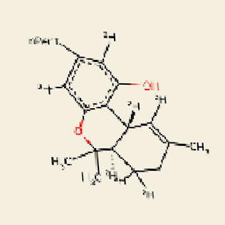 [2H]C1=C(C)CC([2H])([2H])[C@@]2([2H])C(C)(C)Oc3c([2H])c(CCCCC)c([2H])c(O)c3[C@]12[2H]